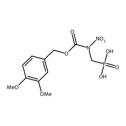 COc1ccc(COC(=O)N(CP(=O)(O)O)[N+](=O)[O-])cc1OC